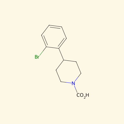 O=C(O)N1CCC(c2ccccc2Br)CC1